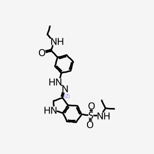 CCNC(=O)c1cccc(N/N=C2\CNc3ccc(S(=O)(=O)NC(C)C)cc32)c1